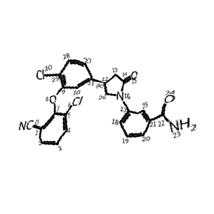 N#Cc1cccc(Cl)c1Oc1cc([C@H]2CC(=O)N(c3cccc(C(N)=O)c3)C2)ccc1Cl